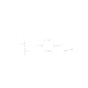 C=C(F)C(=O)Nc1ccc(B2OC(C)(C)C(C)(C)O2)c(C)c1